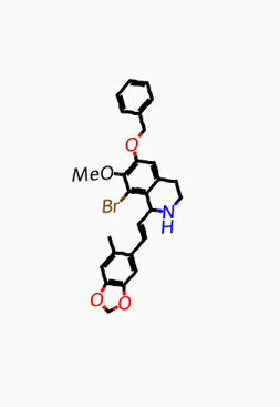 COc1c(OCc2ccccc2)cc2c(c1Br)C(/C=C/c1cc3c(cc1C)OCO3)NCC2